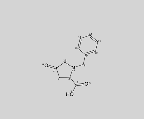 O=C1CC(C(=O)O)N(Cc2ccccc2)C1